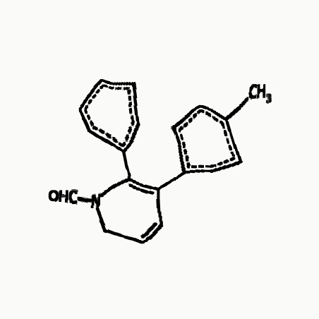 Cc1ccc(C2=C(c3ccccc3)N(C=O)CC=C2)cc1